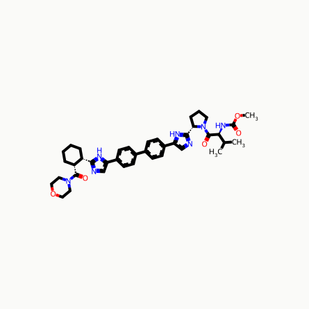 COC(=O)N[C@H](C(=O)N1CCC[C@H]1c1ncc(-c2ccc(-c3ccc(-c4cnc([C@H]5CCCC[C@H]5C(=O)N5CCOCC5)[nH]4)cc3)cc2)[nH]1)C(C)C